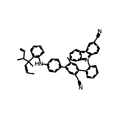 C=CC(C)C(C)(/C=C\C)c1ccccc1Nc1ccc(-c2cc(C#N)c(-c3ccccc3-n3c4ccccc4c4cc(C#N)ccc43)cc2C)cc1